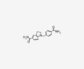 NC(=O)c1ccc(CN2CCc3cc(C(N)=O)ccc32)cc1